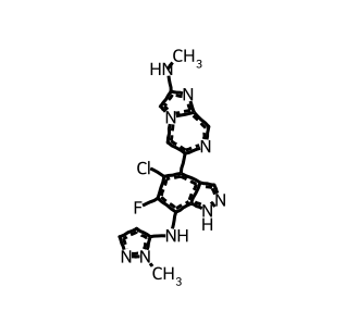 CNc1cn2cc(-c3c(Cl)c(F)c(Nc4ccnn4C)c4[nH]ncc34)ncc2n1